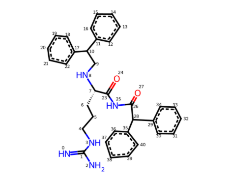 N=C(N)NCCC[C@H](NCC(c1ccccc1)c1ccccc1)C(=O)NC(=O)C(c1ccccc1)c1ccccc1